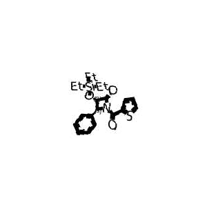 CC[Si](CC)(CC)O[C@H]1C(=O)N(C(=O)c2cccs2)[C@H]1c1ccccc1